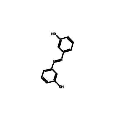 Oc1cccc(/N=N/c2cccc(O)c2)c1